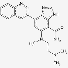 CN(C)CCN(C)c1cc(-c2cnc3ccccc3c2)c2nc[nH]c2c1C(N)=O